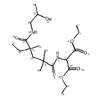 CCOC(=O)C(NC(=O)C(C)(C)CC(C)(CC)C(=O)NCC(C)O)C(=O)OCC